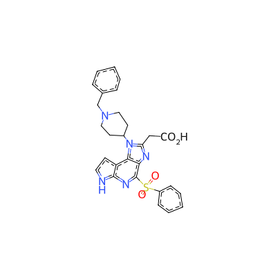 O=C(O)Cc1nc2c(S(=O)(=O)c3ccccc3)nc3[nH]ccc3c2n1C1CCN(Cc2ccccc2)CC1